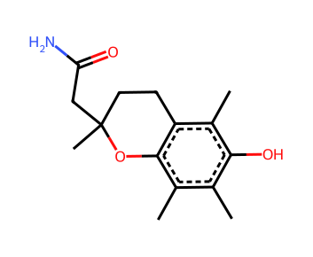 Cc1c(C)c2c(c(C)c1O)CCC(C)(CC(N)=O)O2